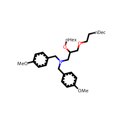 CCCCCCCCCCCCOCC(CN(Cc1ccc(OC)cc1)Cc1ccc(OC)cc1)OCCCCCC